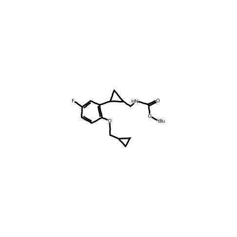 CC(C)(C)OC(=O)NCC1CC1c1cc(F)ccc1OCC1CC1